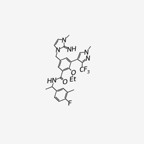 CCOc1c(C(=O)NC(C)c2ccc(F)c(C)c2)cc(Cn2ccn(C)c2=N)cc1-c1cn(C)nc1C(F)(F)F